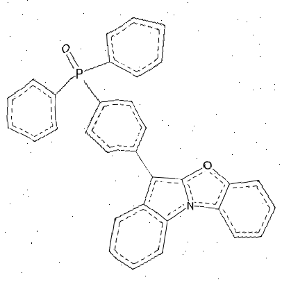 O=P(c1ccccc1)(c1ccccc1)c1ccc(-c2c3ccccc3n3c2oc2ccccc23)cc1